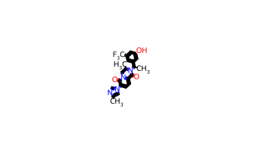 Cc1cn(-c2ccc3n(c2=O)C[C@@H](C)N([C@H](C)c2cc(O)cc(C(F)(F)F)c2)C3=O)cn1